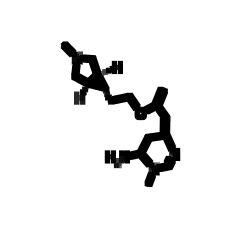 C=C(/C=C1\CC(N)N(C)C=N1)OCC[C@@H]1[C@H]2CN(C)C[C@@H]12